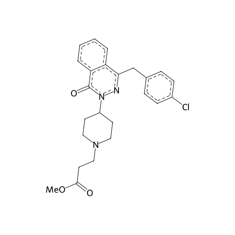 COC(=O)CCN1CCC(n2nc(Cc3ccc(Cl)cc3)c3ccccc3c2=O)CC1